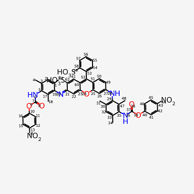 Cc1cc(C)c(NC(=O)Oc2ccc([N+](=O)[O-])cc2)c(C)c1/N=c1/cc2oc3cc(Nc4c(C)cc(C)c(NC(=O)Oc5ccc([N+](=O)[O-])cc5)c4C)ccc3c(-c3ccccc3S(=O)(=O)O)c-2cc1S(=O)(=O)O